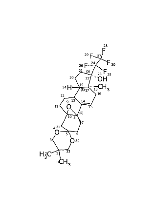 CC1(C)COC2(CC[C@]34OC3(CCC3C4=CCC4(C)[C@H]3CC[C@@]4(O)C(F)(F)C(F)(F)F)C2)OC1